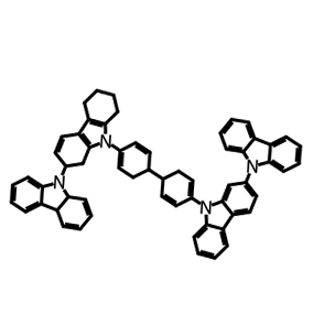 C1=CC2c3ccccc3N(C3C=Cc4c5c(n(C6=CCC(C7C=CC(n8c9ccccc9c9ccc(-n%10c%11ccccc%11c%11ccccc%11%10)cc98)=CC7)C=C6)c4C3)CCCC5)C2C=C1